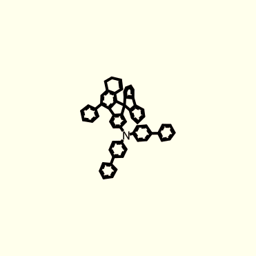 C1=Cc2c(cc(-c3ccccc3)c3c2C2(c4ccccc4-c4ccccc42)c2cc(N(c4ccc(-c5ccccc5)cc4)c4ccc(-c5ccccc5)cc4)ccc2-3)CC1